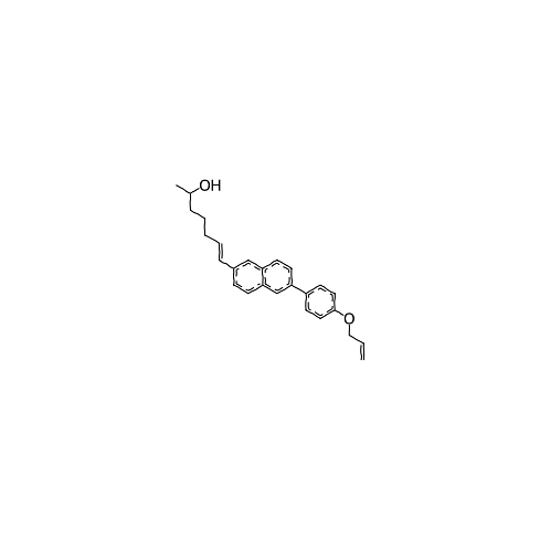 C=CCOc1ccc(-c2ccc3cc(C=CCCCC(C)O)ccc3c2)cc1